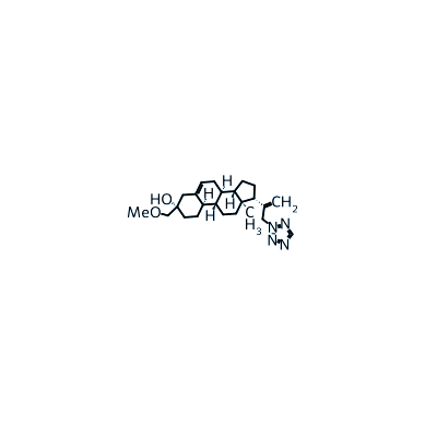 C=C(Cn1ncnn1)[C@H]1CC[C@H]2[C@@H]3CC=C4C[C@](O)(COC)CC[C@@H]4[C@H]3CC[C@]12C